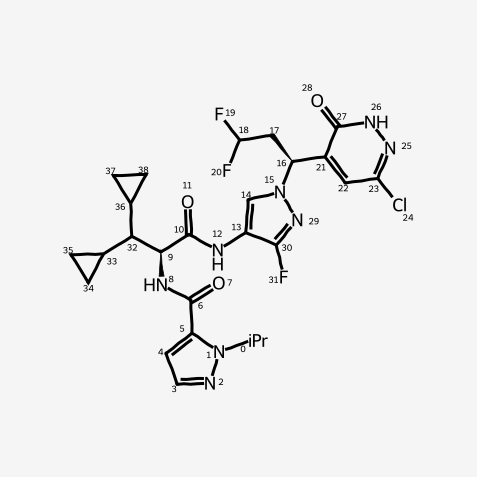 CC(C)n1nccc1C(=O)N[C@H](C(=O)Nc1cn([C@@H](CC(F)F)c2cc(Cl)n[nH]c2=O)nc1F)C(C1CC1)C1CC1